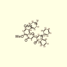 COc1cc(OC)c2c(=O)cc(-c3cn(-c4ccccc4)c4ccccc4c3=O)oc2c1C1=CCN(C)CC1